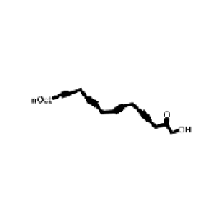 CCCCCCCCC#CCC#CCC#CCC#CCC(=O)CO